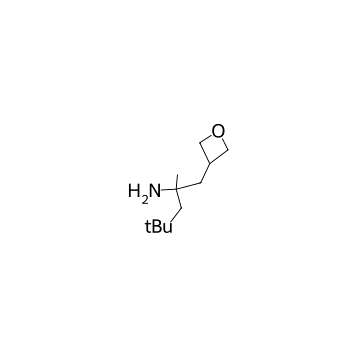 CC(C)(C)CC(C)(N)CC1COC1